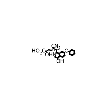 N#CN(CCC(O)C(=O)O)C(=O)c1ncc(O)c2ccc(Oc3ccccc3)cc12